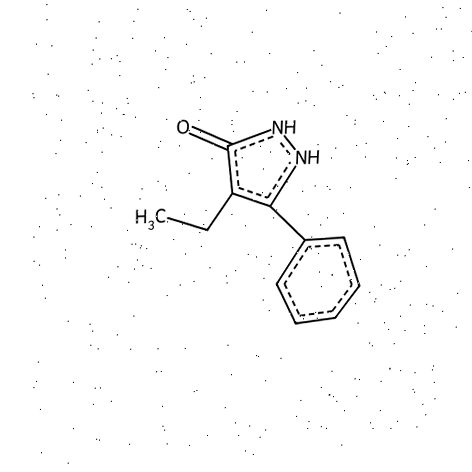 CCc1c(-c2ccccc2)[nH][nH]c1=O